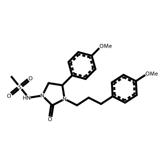 COc1ccc(CCCN2C(=O)N(NS(C)(=O)=O)CC2c2ccc(OC)cc2)cc1